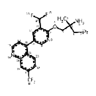 CC(C)CC(C)(N)COc1ncc(-c2ccnc3cc(C(F)(F)F)ccc23)cc1C(F)F